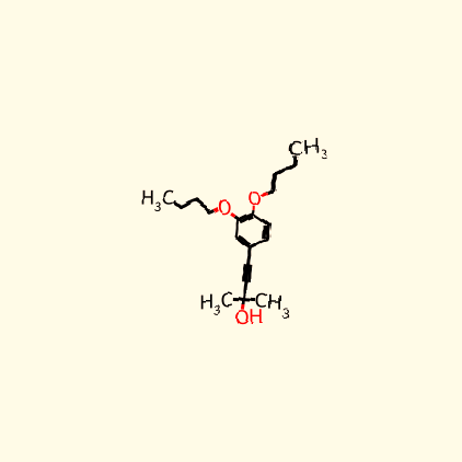 CCCCOc1ccc(C#CC(C)(C)O)cc1OCCCC